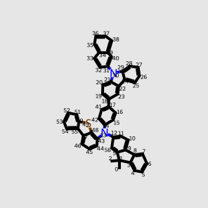 CC1(C)c2ccccc2-c2ccc(N(c3ccc(-c4ccc5c(c4)c4ccccc4n5-c4ccc5ccccc5c4)cc3)c3cccc4c3sc3ccccc34)cc21